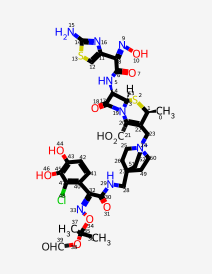 C[C@@H]1S[C@@H]2[C@H](NC(=O)/C(=N\O)c3csc(N)n3)C(=O)N2C(C(=O)O)=C1C[N+]12CCC(CNC(=O)/C(=N\OC(C)(C)OC=O)c3ccc(O)c(O)c3Cl)(CC1)CC2